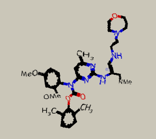 CNC/C(=C\NCCN1CCOCC1)Nc1nc(C)cc(N(C(=O)Oc2c(C)cccc2C)c2ccc(OC)cc2OC)n1